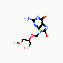 CCOCC(CO)OCn1c(Br)nc2c(=O)[nH]c(N)nc21